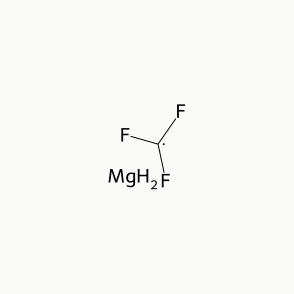 F[C](F)F.[MgH2]